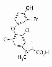 CC(C)c1cc(Oc2c(Cl)cc3c(cc(C(=O)O)n3C)c2Cl)ccc1O